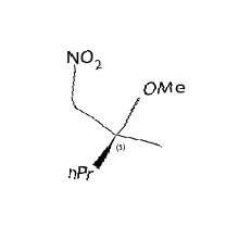 CCC[C@@](C)(C[N+](=O)[O-])OC